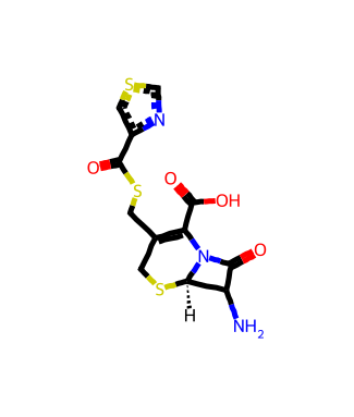 NC1C(=O)N2C(C(=O)O)=C(CSC(=O)c3cscn3)CS[C@H]12